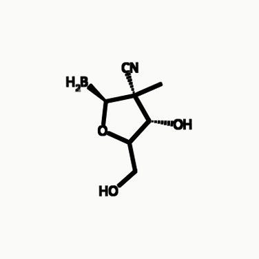 B[C@@H]1OC(CO)[C@@H](O)[C@@]1(C)C#N